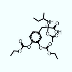 CCOC(=O)Oc1ccc(C[C@](NC(C)CC)(OC(C)=O)C(=O)O)cc1OC(=O)OCC